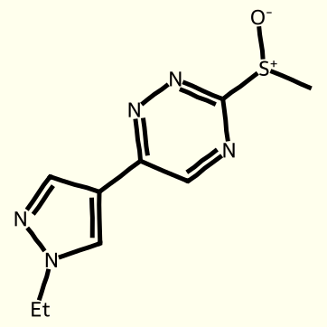 CCn1cc(-c2cnc([S+](C)[O-])nn2)cn1